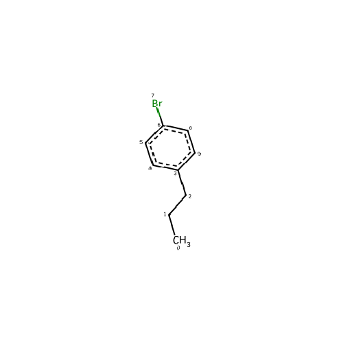 CCCc1c[c]c(Br)cc1